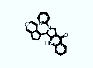 O=c1c2c([nH]c3ccccc13)C(C1=C3C=COC=C3CC1)N(c1ccccn1)C2